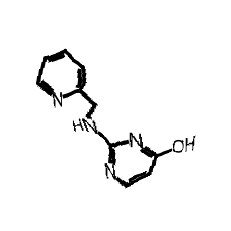 Oc1ccnc(NCc2ccccn2)n1